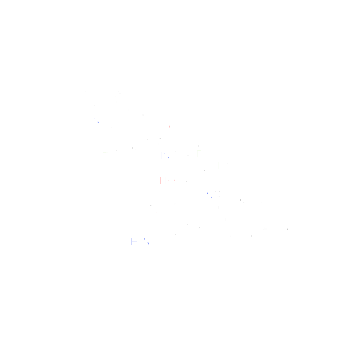 CCCOc1c(CC(N)=O)cc([C@@](O)(CNC(=O)c2cc(F)c3nc(C4CC4)sc3c2)C(F)(F)F)nc1-c1ccc(F)cc1